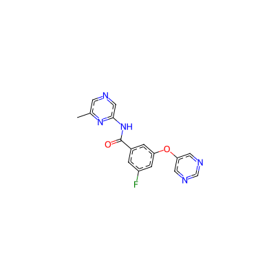 Cc1cncc(NC(=O)c2cc(F)cc(Oc3cncnc3)c2)n1